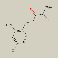 COC(=O)C(=O)CCc1ccc(Cl)cc1[N+](=O)[O-]